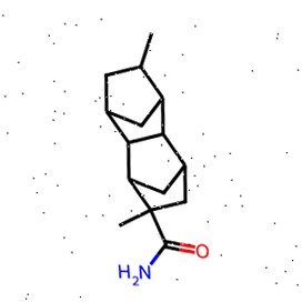 CC1CC2CC1C1C3CC(C21)C(C)(C(N)=O)C3